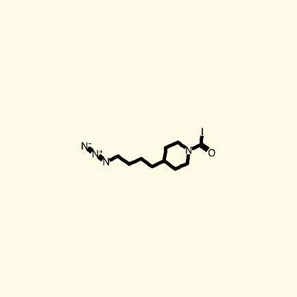 [N-]=[N+]=NCCCCC1CCN(C(=O)I)CC1